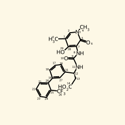 Cc1cn(C)c(=O)c(NC(=O)N[C@@H](CC(=O)O)c2cccc(-c3ccccc3C(F)(F)F)c2)c1O